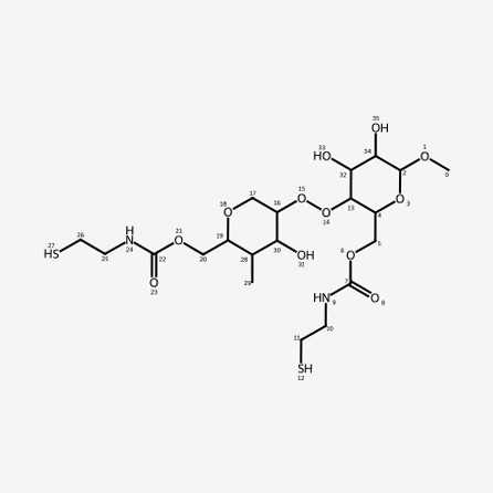 COC1OC(COC(=O)NCCS)C(OOC2COC(COC(=O)NCCS)C(C)C2O)C(O)C1O